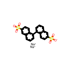 O=S(=O)([O-])c1ccc2c(-c3cccc4cc(S(=O)(=O)[O-])ccc34)cccc2c1.[Na+].[Na+]